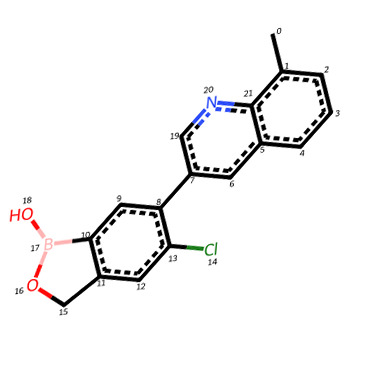 Cc1cccc2cc(-c3cc4c(cc3Cl)COB4O)cnc12